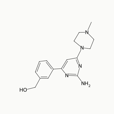 CN1CCN(c2cc(-c3cccc(CO)c3)nc(N)n2)CC1